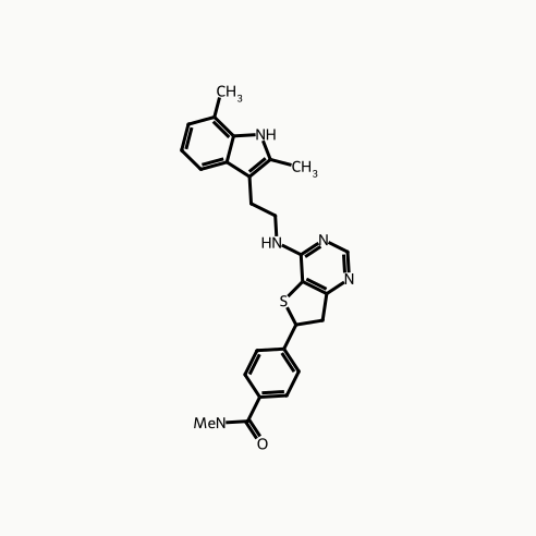 CNC(=O)c1ccc(C2Cc3ncnc(NCCc4c(C)[nH]c5c(C)cccc45)c3S2)cc1